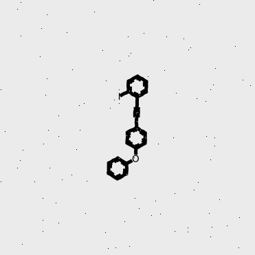 Ic1ccccc1C#Cc1ccc(Oc2ccccc2)cc1